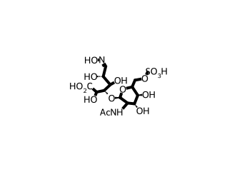 CC(=O)NC1[C@@H](O[C@H](C(O)C(=O)O)C(O)[C@H](O)/C=N\O)OC(COS(=O)(=O)O)[C@@H](O)[C@@H]1O